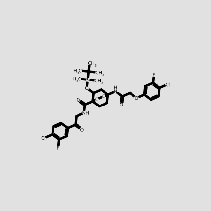 CC(C)(C)[Si](C)(C)OC1CC2(NC(=O)COc3ccc(Cl)c(F)c3)CCC1(C(=O)NCC(=O)c1ccc(Cl)c(F)c1)CC2